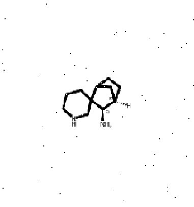 N[C@@H]1[C@@H]2CCC(C2)C12CCCNC2